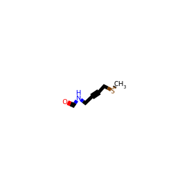 CSCC#CCN[C]=O